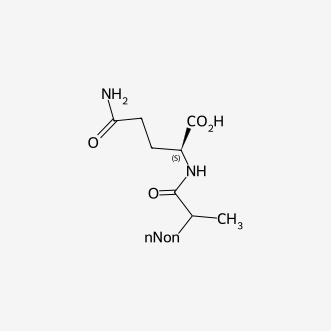 CCCCCCCCCC(C)C(=O)N[C@@H](CCC(N)=O)C(=O)O